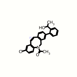 CC(=O)N1Cc2cc(-c3ccccc3C(C)O)ccc2/C=C\c2cc(Cl)ccc21